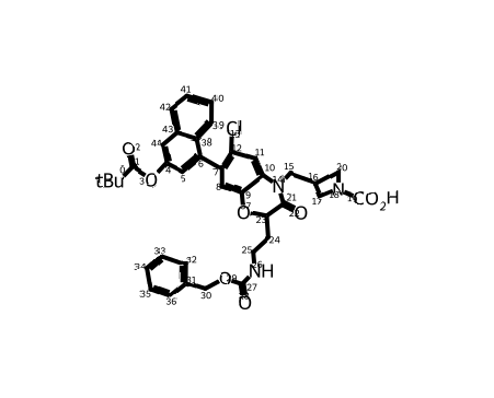 CC(C)(C)C(=O)Oc1cc(-c2cc3c(cc2Cl)N(CC2CN(C(=O)O)C2)C(=O)C(CCNC(=O)OCc2ccccc2)O3)c2ccccc2c1